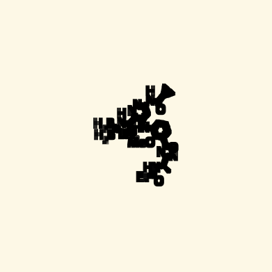 BC(B)(B)NC(=O)c1nnc(NC(=O)C2CC2)cc1Nc1cccc(-c2nc([C@@H](C)NC(=O)CC)no2)c1OC